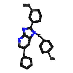 COc1cccc(-c2nc3ncc(-c4ccccc4)cc3n2Cc2ccc(C(C)(C)C)cc2)c1